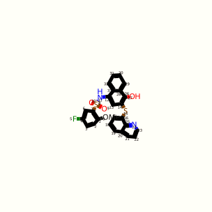 COc1ccc(F)cc1S(=O)(=O)Nc1cc(Sc2cccc3cccnc23)c(O)c2ccccc12